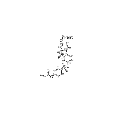 C=CC(=O)Oc1ccc(C(F)(F)Oc2ccc3c(c2)C(F)(F)c2cc(OCCCCC)ccc2-3)cc1